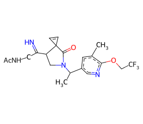 CC(=O)NCC(=N)C1CN(C(C)c2cnc(OCC(F)(F)F)c(C)c2)C(=O)C12C=C2